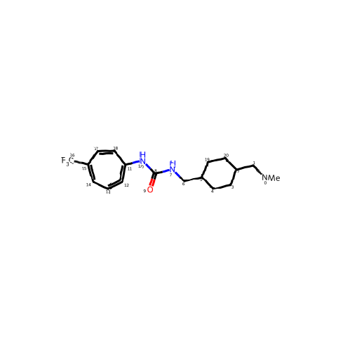 CNCC1CCC(CNC(=O)NC2=C=CC=C(C(F)(F)F)C=C2)CC1